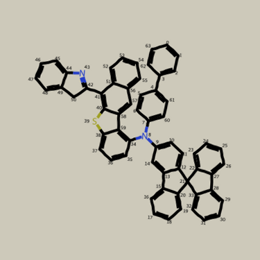 c1ccc(-c2ccc(N(c3ccc4c(c3)-c3ccccc3C43c4ccccc4-c4ccccc43)c3cccc4sc5c(C6=Nc7ccccc7C6)c6ccccc6cc5c34)cc2)cc1